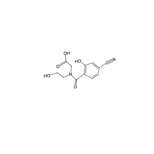 N#Cc1ccc(C(=O)N(CCO)CC(=O)O)c(O)c1